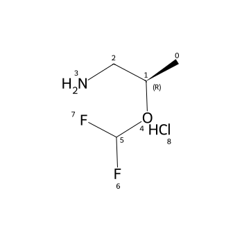 C[C@H](CN)OC(F)F.Cl